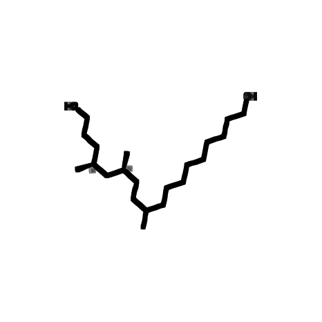 CC(CCCCCCCCCO)CC[C@H](C)C[C@@H](C)CCCO